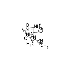 Cc1cc(C(=O)NC[C@H]2CCC(=O)N2CCCN)c(NCCc2cccc(F)c2)nc1-c1cnn(C)c1